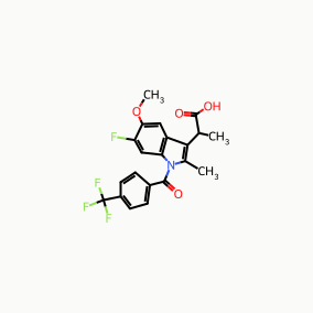 COc1cc2c(C(C)C(=O)O)c(C)n(C(=O)c3ccc(C(F)(F)F)cc3)c2cc1F